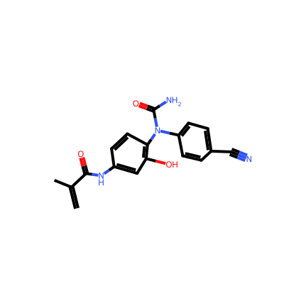 C=C(C)C(=O)Nc1ccc(N(C(N)=O)c2ccc(C#N)cc2)c(O)c1